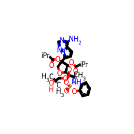 CC(C)C(=O)O[C@@H]1[C@@H](CO[P@@](=O)(N[C@@H](C)C(=O)OCC(C)(C)O)Oc2ccccc2)OC[C@]1(OC(=O)C(C)C)c1ccc2c(N)ncnn12